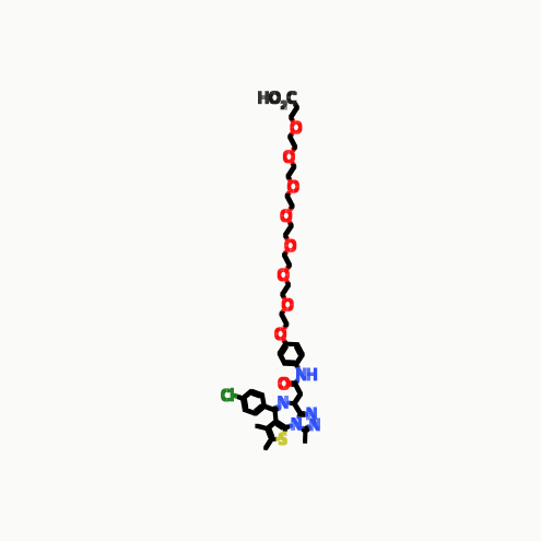 Cc1sc2c(c1C)C(c1ccc(Cl)cc1)=NC(CC(=O)Nc1ccc(OCCOCCOCCOCCOCCOCCOCCOCCC(=O)O)cc1)c1nnc(C)n1-2